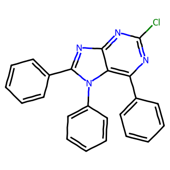 Clc1nc(-c2ccccc2)c2c(n1)nc(-c1ccccc1)n2-c1ccccc1